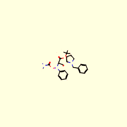 CN(C)C(=O)ON(c1ccccc1)[C@@](C)(C(=O)OC(C)(C)C)C(=O)[C@@H]1CCCN1Cc1ccccc1